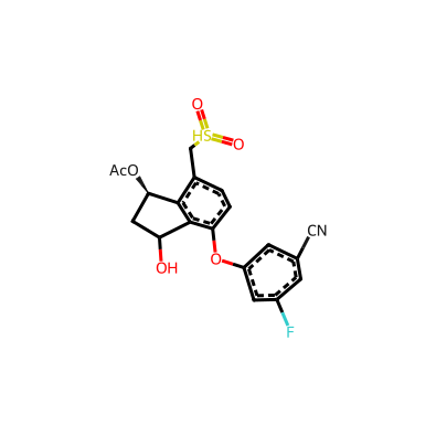 CC(=O)O[C@@H]1CC(O)c2c(Oc3cc(F)cc(C#N)c3)ccc(C[SH](=O)=O)c21